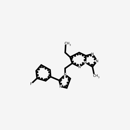 CCc1cc2nnc(C)n2nc1Cn1ccnc1-c1cccc(F)c1